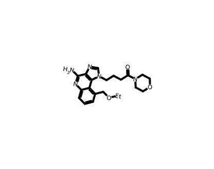 CCOCc1cccc2nc(N)c3ncn(CCCC(=O)N4CCOCC4)c3c12